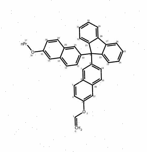 C=COc1ccc2cc(C3(c4ccc5cc(OCCC)ccc5c4)c4ccccc4-c4ccccc43)ccc2c1